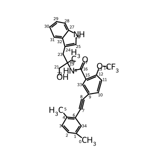 Cc1ccc(C)c(C#Cc2ccc(OC(F)(F)F)c(C(=O)NC(C)(CO)Cc3c[nH]c4ccccc34)c2)c1